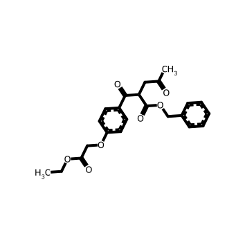 CCOC(=O)COc1ccc(C(=O)C(CC(C)=O)C(=O)OCc2ccccc2)cc1